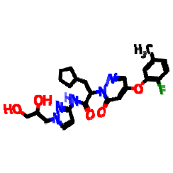 Cc1ccc(F)c(Oc2cnn(C(CC3CCCC3)C(=O)Nc3ccn(CC(O)CO)n3)c(=O)c2)c1